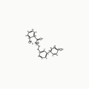 O=C(NCCc1cccc(-c2ccc(Cl)nc2)c1)c1ccccc1C(F)(F)F